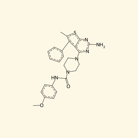 COc1ccc(NC(=O)N2CCN(c3nc(N)nc4sc(C)c(-c5ccccc5)c34)CC2)cc1